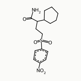 NC(=O)C(CCS(=O)(=O)c1ccc([N+](=O)[O-])cc1)C1CCCCC1